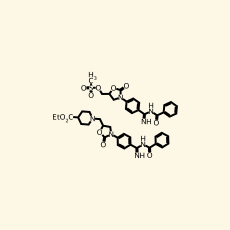 CCOC(=O)C1CCN(CC2CN(c3ccc(C(=N)NC(=O)c4ccccc4)cc3)C(=O)O2)CC1.CS(=O)(=O)OCC1CN(c2ccc(C(=N)NC(=O)c3ccccc3)cc2)C(=O)O1